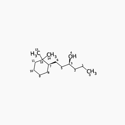 CCC[C@H](O)CC[C@H]1CCCCC1(C)C